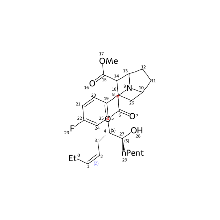 CC/C=C\C[C@H](OC(=O)CN1C2CCC1C(C(=O)OC)C(c1ccc(F)cc1)C2)[C@@H](O)CCCCC